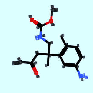 Cc1ccc(N)cc1C(C)(CNC(=O)OC(C)(C)C)CC(=O)OCC(C)C